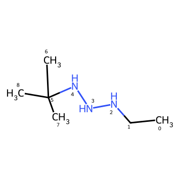 CCNNNC(C)(C)C